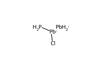 [PH2][Pb][Cl].[PbH2]